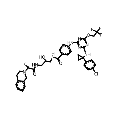 O=C(NCC(O)CNC(=O)c1ccc(Nc2nc(NC3(c4ccc(Cl)cc4)CC3)nc(OCC(F)(F)F)n2)cc1)C(=O)N1CCc2ccccc2C1